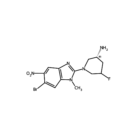 Cn1c(N2CC(F)C[C@@H](N)C2)nc2cc([N+](=O)[O-])c(Br)cc21